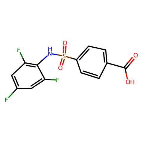 O=C(O)c1ccc(S(=O)(=O)Nc2c(F)cc(F)cc2F)cc1